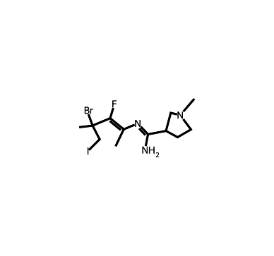 CC(/N=C(\N)C1CCN(C)C1)=C(/F)C(C)(Br)CI